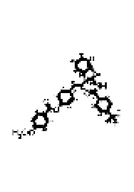 COc1ccc(C(=O)Oc2ccc(CCn3c(NC(=O)c4ccc(C(F)(F)F)cc4)nc4ccccc43)cc2)cc1